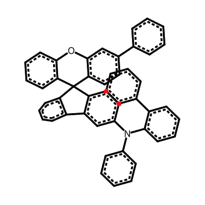 c1ccc(-c2ccc3c(c2)Oc2ccccc2C32c3ccccc3-c3cc(N(c4ccccc4)c4ccccc4-c4ccccc4)ccc32)cc1